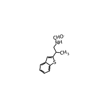 CC(CN[C]=O)c1cc2ccccc2s1